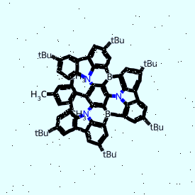 Cc1cc(C)c(-c2c3c4c5c6c2-n2c7ccc(C(C)(C)C)cc7c7cc(C(C)(C)C)cc(c72)B6c2cc(C(C)(C)C)cc6c7cc(C(C)(C)C)cc(c7n-5c26)B4c2cc(C(C)(C)C)cc4c5cc(C(C)(C)C)ccc5n-3c24)c(C)c1